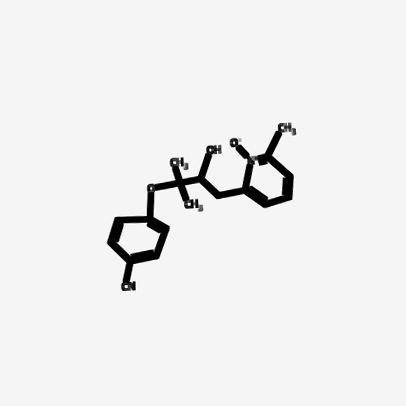 Cc1cccc(CC(O)C(C)(C)Oc2ccc(C#N)cc2)[n+]1[O-]